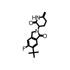 C=C1CCC(N2Cc3cc(F)c(C(C)(C)C)cc3C2=O)C(=O)N1